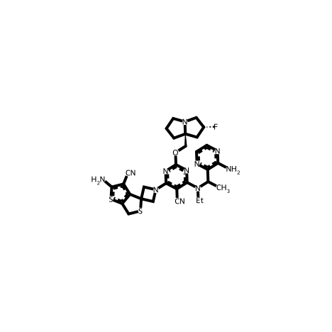 CCN(c1nc(OC[C@@]23CCCN2C[C@H](F)C3)nc(N2CC3(C2)SCc2sc(N)c(C#N)c23)c1C#N)C(C)c1nccnc1N